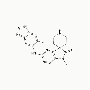 Cc1cc2ncnn2cc1Nc1ncc2c(n1)C1(CCNCC1)C(=O)N2C